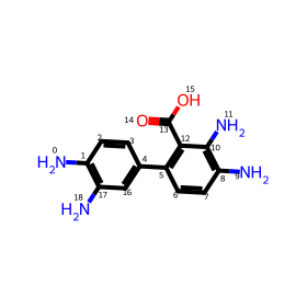 Nc1ccc(-c2ccc(N)c(N)c2C(=O)O)cc1N